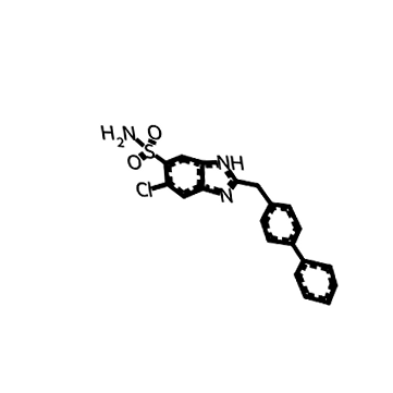 NS(=O)(=O)c1cc2[nH]c(Cc3ccc(-c4ccccc4)cc3)nc2cc1Cl